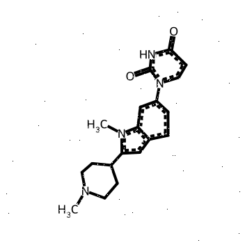 CN1CCC(c2cc3ccc(-n4ccc(=O)[nH]c4=O)cc3n2C)CC1